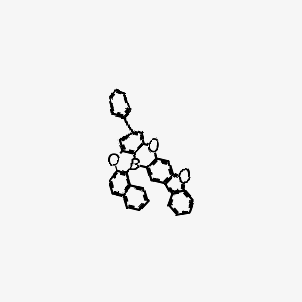 c1ccc(-c2cc3c4c(c2)Oc2ccc5ccccc5c2B4c2cc4c(cc2O3)oc2ccccc24)cc1